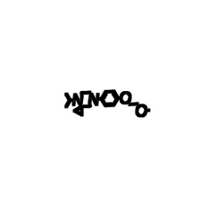 COCCOc1ccc(N2CCN(C(C)C)C3(CC3)C2)cc1